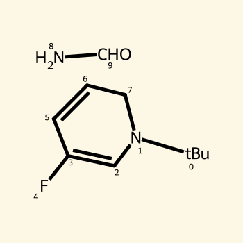 CC(C)(C)N1C=C(F)C=CC1.NC=O